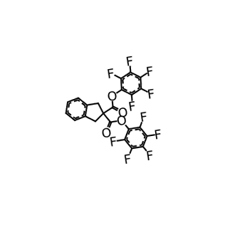 O=C(Oc1c(F)c(F)c(F)c(F)c1F)C1(C(=O)Oc2c(F)c(F)c(F)c(F)c2F)Cc2ccccc2C1